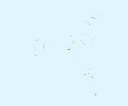 COc1ccc([C@H]2CC[C@H](CN(c3cccc(-c4cnc(C5CC5)s4)c3)C(=O)[C@H]3CC[C@H](OC(=O)NCCO)CC3)CC2)cc1C